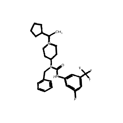 CC(C1CCCC1)N1CCC(N(Cc2ccccc2)C(=O)Nc2cc(F)cc(C(F)(F)F)c2)CC1